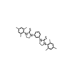 Cc1cc(C)c(N2CCN(c3cccc(N4CCN(c5c(C)cc(C)cc5C)C4=S)c3)C2=S)c(C)c1